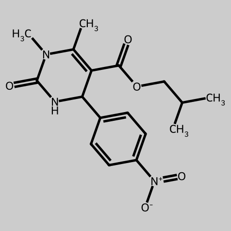 CC1=C(C(=O)OCC(C)C)C(c2ccc([N+](=O)[O-])cc2)NC(=O)N1C